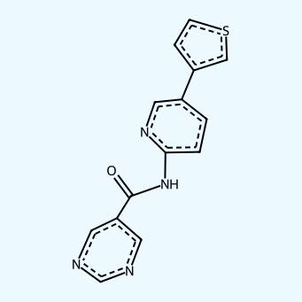 O=C(Nc1ccc(-c2ccsc2)cn1)c1cncnc1